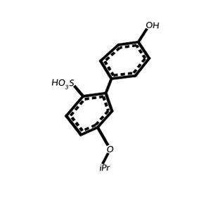 CC(C)Oc1ccc(S(=O)(=O)O)c(-c2ccc(O)cc2)c1